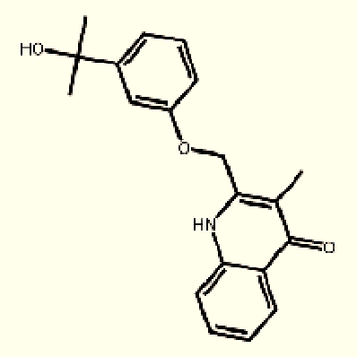 Cc1c(COc2cccc(C(C)(C)O)c2)[nH]c2ccccc2c1=O